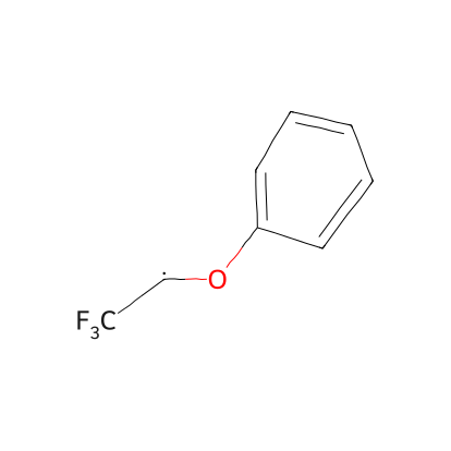 FC(F)(F)[CH]Oc1ccccc1